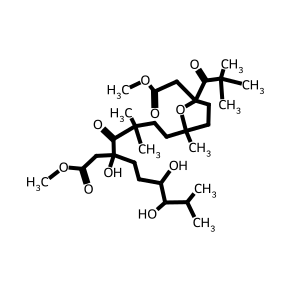 COC(=O)CC(O)(CCC(O)C(O)C(C)C)C(=O)C(C)(C)CCC1(C)CCC(CC(=O)OC)(C(=O)C(C)(C)C)O1